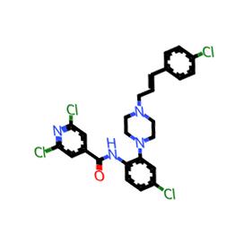 O=C(Nc1ccc(Cl)cc1N1CCN(C/C=C/c2ccc(Cl)cc2)CC1)c1cc(Cl)nc(Cl)c1